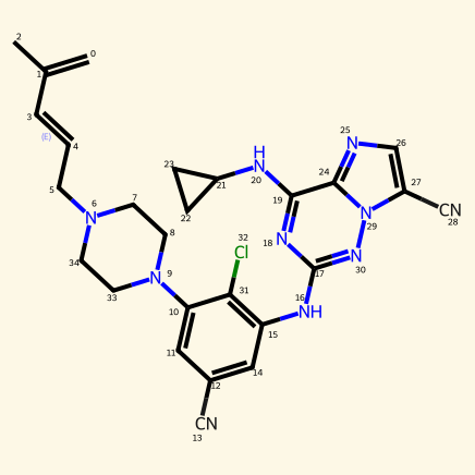 C=C(C)/C=C/CN1CCN(c2cc(C#N)cc(Nc3nc(NC4CC4)c4ncc(C#N)n4n3)c2Cl)CC1